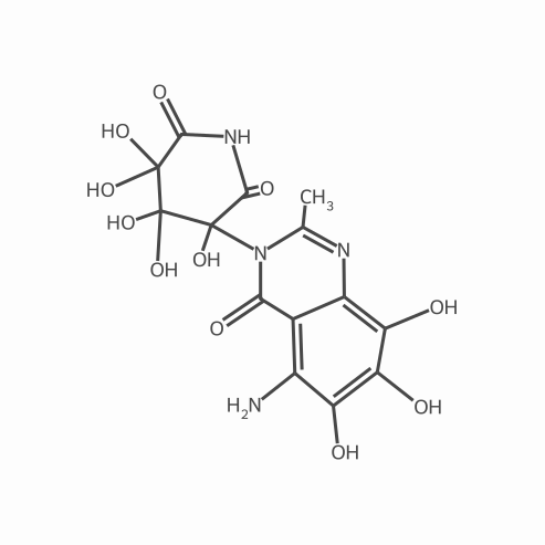 Cc1nc2c(O)c(O)c(O)c(N)c2c(=O)n1C1(O)C(=O)NC(=O)C(O)(O)C1(O)O